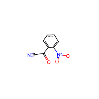 N#CC(=O)c1ccccc1[N+](=O)[O-]